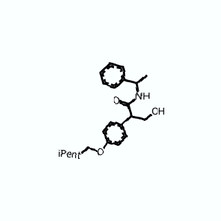 CCCC(C)COc1ccc(C(CO)C(=O)NC(C)c2ccccc2)cc1